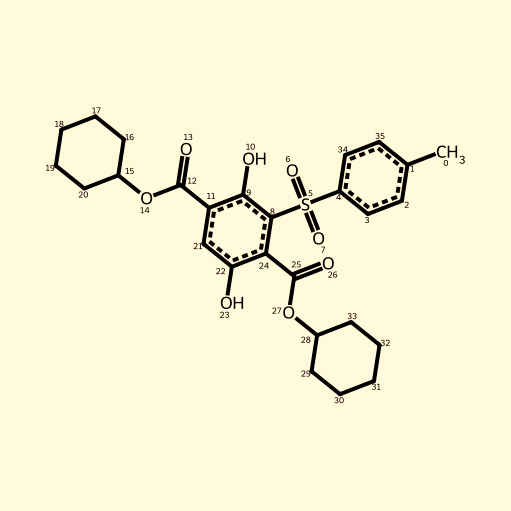 Cc1ccc(S(=O)(=O)c2c(O)c(C(=O)OC3CCCCC3)cc(O)c2C(=O)OC2CCCCC2)cc1